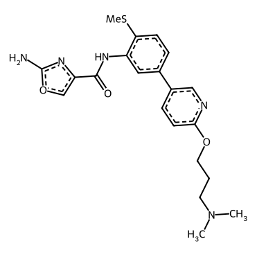 CSc1ccc(-c2ccc(OCCCN(C)C)nc2)cc1NC(=O)c1coc(N)n1